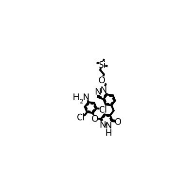 C[Si](C)(C)CCOCn1ncc2cc(Cc3cc(Oc4c(Cl)cc(N)cc4Cl)n[nH]c3=O)ccc21